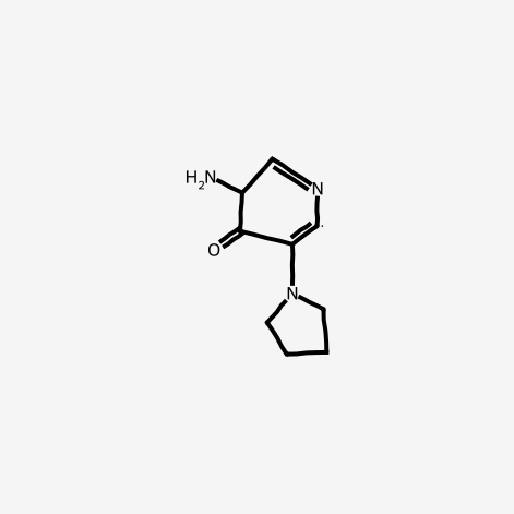 NC1C=N[C]=C(N2CCCC2)C1=O